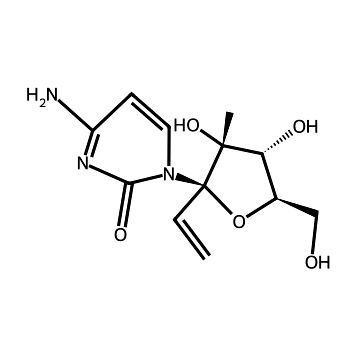 C=C[C@@]1(n2ccc(N)nc2=O)O[C@H](CO)[C@@H](O)[C@@]1(C)O